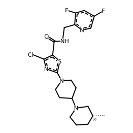 C[C@@H]1CCCN(C2CCN(c3nc(Cl)c(C(=O)NCc4ncc(F)cc4F)s3)CC2)C1